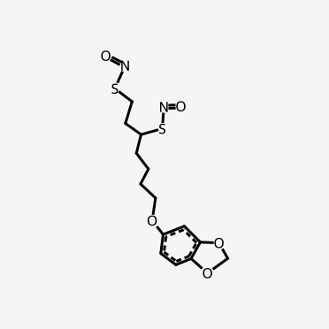 O=NSCCC(CCCCOc1ccc2c(c1)OCO2)SN=O